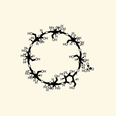 O=[SH](=O)O.OC[C@H]1O[C@@H]2O[C@H]3[C@H](O)[C@@H](O)[C@@H](O[C@H]4[C@H](O)[C@@H](O)[C@@H](O[C@H]5[C@H](O)[C@@H](O)[C@@H](O[C@H]6[C@H](O)[C@@H](O)[C@@H](O[C@H]7[C@H](O)[C@@H](O)[C@@H](O[C@H]8[C@H](O)[C@@H](O)[C@@H](O[C@H]9[C@H](O)[C@@H](O)[C@@H](O[C@H]1[C@H](O)[C@H]2O)O[C@@H]9CO)O[C@@H]8CO)O[C@@H]7CO)O[C@@H]6CO)O[C@@H]5CO)O[C@@H]4CO)O[C@@H]3CO